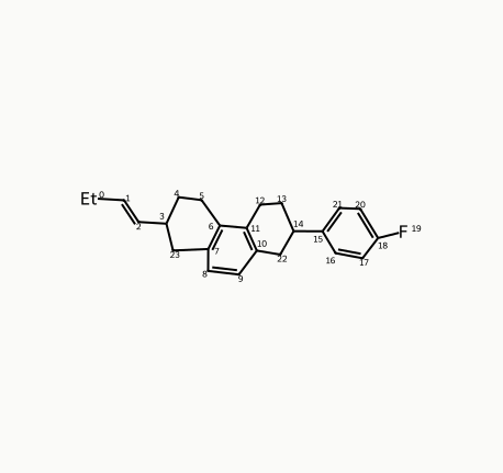 CCC=CC1CCc2c(ccc3c2CCC(c2ccc(F)cc2)C3)C1